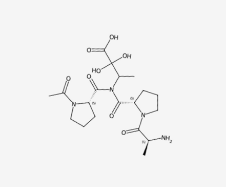 CC(=O)N1CCC[C@H]1C(=O)N(C(=O)[C@@H]1CCCN1C(=O)[C@H](C)N)C(C)C(O)(O)C(=O)O